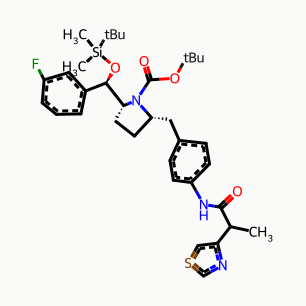 CC(C(=O)Nc1ccc(C[C@@H]2CC[C@H]([C@H](O[Si](C)(C)C(C)(C)C)c3cccc(F)c3)N2C(=O)OC(C)(C)C)cc1)c1cscn1